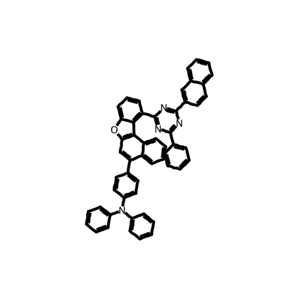 c1ccc(-c2nc(-c3ccc4ccccc4c3)nc(-c3cccc4oc5cc(-c6ccc(N(c7ccccc7)c7ccccc7)cc6)c6ccccc6c5c34)n2)cc1